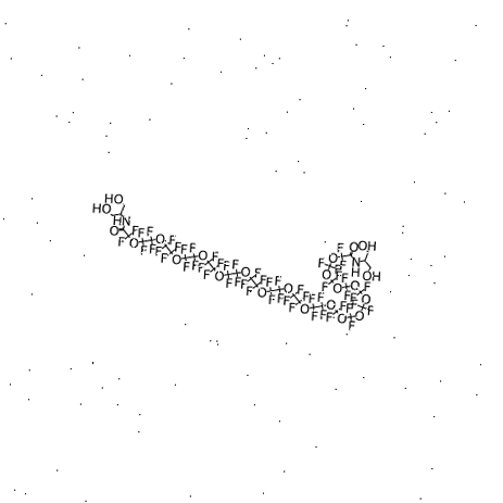 O=C(NC(CO)CO)C(F)(F)OC(F)(F)OC(F)(F)OC(F)(F)OC(F)(F)OC(F)(F)OC(F)(F)OC(F)(F)OC(F)(F)C(F)(F)OC(F)(F)C(F)(F)OC(F)(F)C(F)(F)OC(F)(F)C(F)(F)OC(F)(F)C(F)(F)OC(F)(F)C(F)(F)OC(F)(F)C(F)(F)OC(F)(F)C(F)(F)OC(F)(F)C(F)(F)OC(F)(F)C(=O)NC(CO)CO